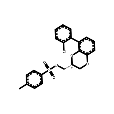 Cc1ccc(S(=O)(=O)OC[C@H]2COc3cccc(-c4ccccc4Cl)c3O2)cc1